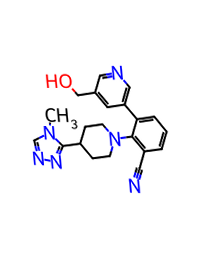 Cn1cnnc1C1CCN(c2c(C#N)cccc2-c2cncc(CO)c2)CC1